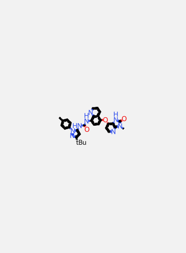 Cc1ccc(-n2nc(C(C)(C)C)cc2NC(=O)Nc2ccc(Oc3ccnc4c3[nH]c(=O)n4C)c3cccnc23)cc1